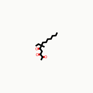 CCCCCCCC(C)(CC)C(=O)CC(=O)C(C)=O